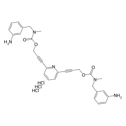 CN(Cc1cccc(N)c1)C(=O)OCC#Cc1cccc(C#CCOC(=O)N(C)Cc2cccc(N)c2)n1.Cl.Cl.Cl